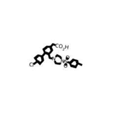 Cc1ccc(S(=O)(=O)N2CCN(Cc3cc(CC(=O)O)ccc3-c3ccc(Cl)cc3)CC2)cc1